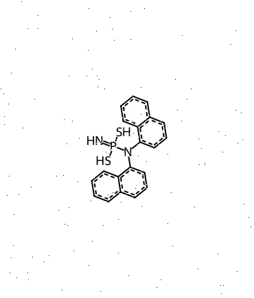 N=P(S)(S)N(c1cccc2ccccc12)c1cccc2ccccc12